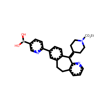 CCOC(=O)N1CCC(=C2c3ccc(-c4ccc(B(O)O)cn4)cc3CCc3cccnc32)CC1